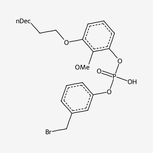 CCCCCCCCCCCCOc1cccc(OP(=O)(O)Oc2cccc(CBr)c2)c1OC